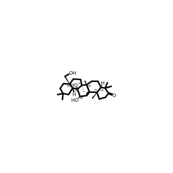 CC1(C)CC[C@]2(CO)CC[C@]3(C)[C@](O)([C@H](O)C=C4[C@@]5(C)CCC(=O)C(C)(C)[C@@H]5CC[C@]43C)[C@@H]2C1